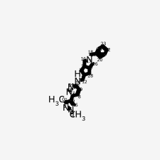 Cc1nn(C)cc1-c1ccc(NCC2CC3CN(CC4CC5C=CC4C5)CC3C2)nn1